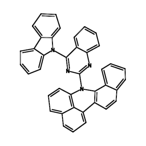 c1ccc2c3c(ccc2c1)-c1cccc2cccc(c12)N3c1nc(-n2c3ccccc3c3ccccc32)c2ccccc2n1